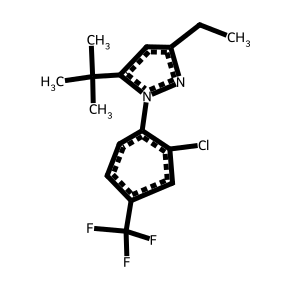 CCc1cc(C(C)(C)C)n(-c2ccc(C(F)(F)F)cc2Cl)n1